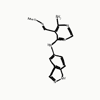 CON=Cc1c(N)ncnc1Nc1ccc2[nH]ncc2c1